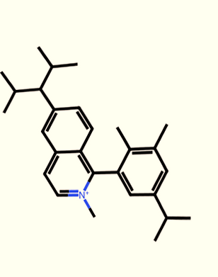 Cc1cc(C(C)C)cc(-c2c3ccc(C(C(C)C)C(C)C)cc3cc[n+]2C)c1C